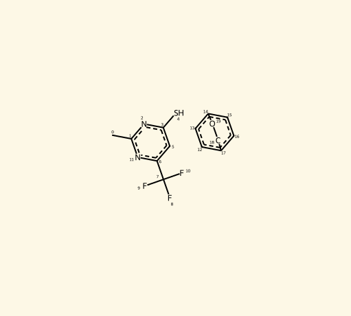 Cc1nc(S)cc(C(F)(F)F)n1.c1cc2ccc1CO2